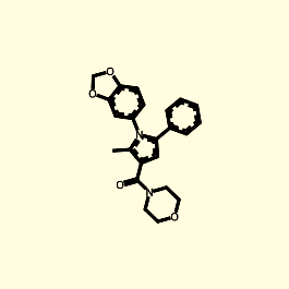 Cc1c(C(=O)N2CCOCC2)cc(-c2ccccc2)n1-c1ccc2c(c1)OCO2